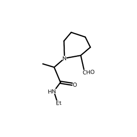 CCNC(=O)C(C)N1CCCCC1C=O